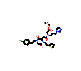 CCOC(=O)CN(CCCn1ccnc1)C(=O)CC1C(=O)N(CCc2ccc(Cl)cc2)CC(=O)N1CCc1cccs1